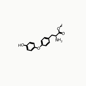 N[C@@H](Cc1ccc(Oc2ccc(O)cc2)cc1)C(=O)OI